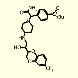 CCCC[S+]([O-])c1ccc(C(C(N)=O)N2CCC(NCC(O)C3COc4cc(C(F)(F)F)ccc4O3)CC2)cc1